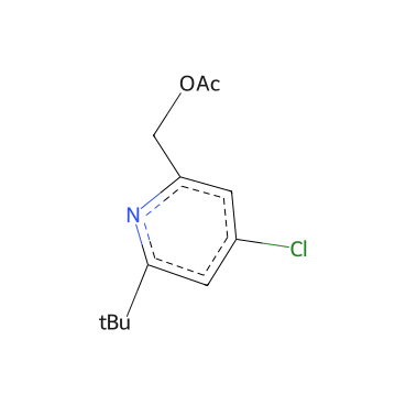 CC(=O)OCc1cc(Cl)cc(C(C)(C)C)n1